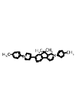 Cc1ccc(-[n+]2ccc(-c3ccc4c(c3)C(C)(C)c3c[n+](-c5ccc(C)cc5)ccc3-4)cc2)cc1